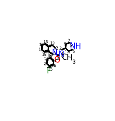 CN(CC1CCNCC1)C(=O)N1CCc2ccccc2[C@@H]1c1ccc(F)cc1